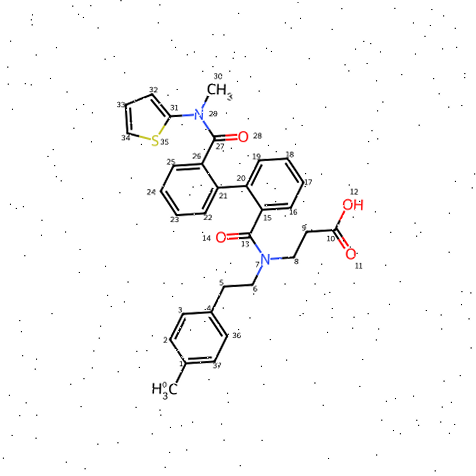 Cc1ccc(CCN(CCC(=O)O)C(=O)c2ccccc2-c2ccccc2C(=O)N(C)c2cccs2)cc1